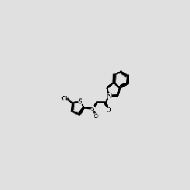 O=C(C[S+]([O-])c1ccc(Cl)s1)N1Cc2ccccc2C1